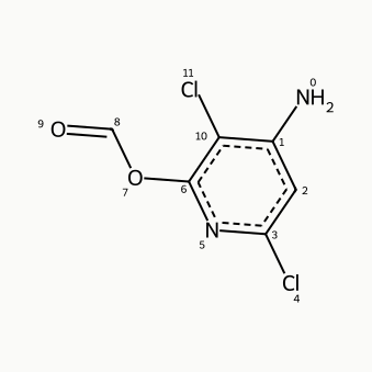 Nc1cc(Cl)nc(OC=O)c1Cl